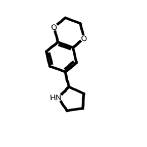 c1cc2c(cc1C1CCCN1)OCCO2